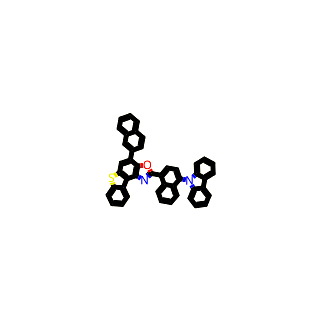 c1ccc2cc(-c3cc4sc5ccccc5c4c4nc(-c5ccc(-n6c7ccccc7c7ccccc76)c6ccccc56)oc34)ccc2c1